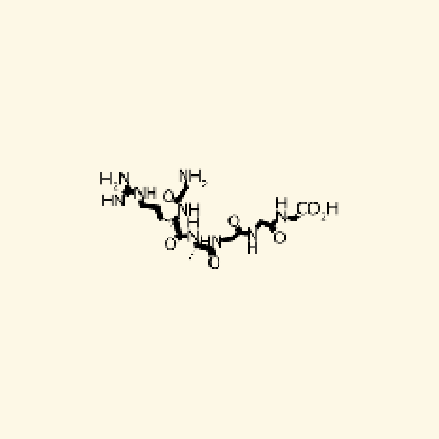 C[C@H](NC(=O)[C@H](CCCNC(=N)N)NC(=O)CN)C(=O)NCC(=O)NCC(=O)NCC(=O)O